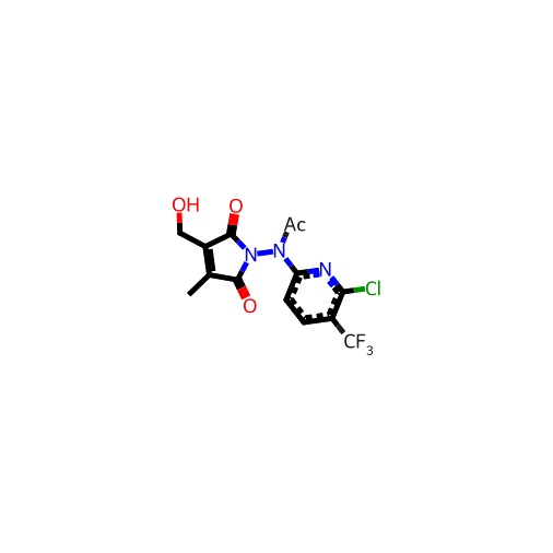 CC(=O)N(c1ccc(C(F)(F)F)c(Cl)n1)N1C(=O)C(C)=C(CO)C1=O